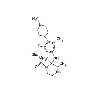 Cc1cc(NC2(C)C(C)NCCN2C(=O)OC(C)(C)C)cc(F)c1C1CCN(C)CC1